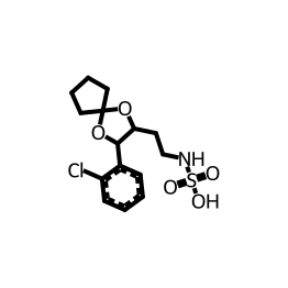 O=S(=O)(O)NCCC1OC2(CCCC2)OC1c1ccccc1Cl